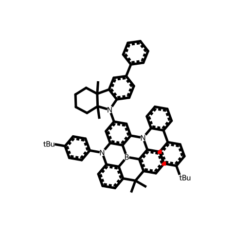 CC(C)(C)c1ccc(-c2ccccc2N2c3cc(N4c5ccc(-c6ccccc6)cc5C5(C)CCCCC45C)cc4c3B3c5c(cccc5C(C)(C)c5cccc2c53)N4c2ccc(C(C)(C)C)cc2)cc1